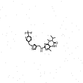 Cc1nc(NCc2cnn(Cc3ccc(C(C)(F)F)nc3)c2)nc2c1NC(=O)C(C(C)C)N2C